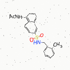 CC(=O)Nc1cccc2cc(S(=O)(=O)NCc3ccccc3C)ccc12